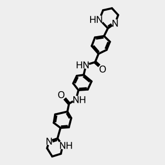 O=C(Nc1ccc(NC(=O)c2ccc(C3=NCCCN3)cc2)cc1)c1ccc(C2=NCCCN2)cc1